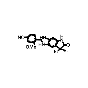 CCC1(CC)C(=O)Nc2cc3c(cc21)NC(c1ccc(C#N)cc1OC)N3